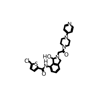 O=C(Nc1cccc2c1C(O)N(CC(=O)N1CCN(c3ccncc3)CC1)C2)c1ccc(Cl)s1